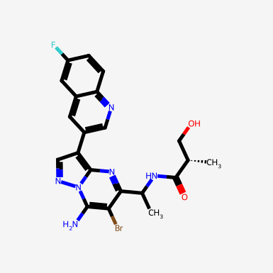 CC(NC(=O)[C@@H](C)CO)c1nc2c(-c3cnc4ccc(F)cc4c3)cnn2c(N)c1Br